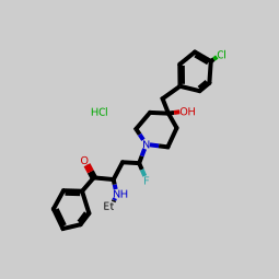 CCNC(CC(F)N1CCC(O)(Cc2ccc(Cl)cc2)CC1)C(=O)c1ccccc1.Cl